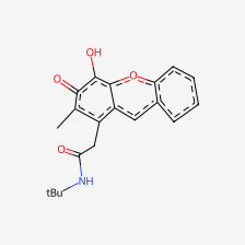 Cc1c(CC(=O)NC(C)(C)C)c2cc3ccccc3oc-2c(O)c1=O